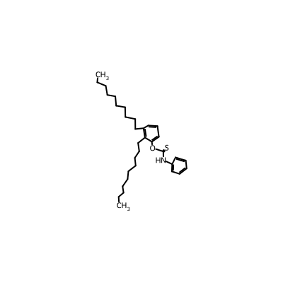 CCCCCCCCCCc1cccc(OC(=S)Nc2ccccc2)c1CCCCCCCCCC